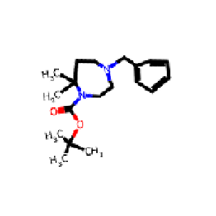 CC(C)(C)OC(=O)N1CCN(Cc2ccccc2)CCC1(C)C